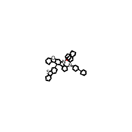 c1ccc(-c2ccc(N(c3ccc4ccccc4c3)c3cccc4c5c(-c6ccc7c(c6)sc6ccccc67)c6c(cc5n(-c5ccccc5)c34)oc3ccccc36)cc2)cc1